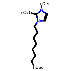 CCCCCCCCCCCCCCCCCN1C=CN(CCCCCCCCCC)C1CCCCCCCC